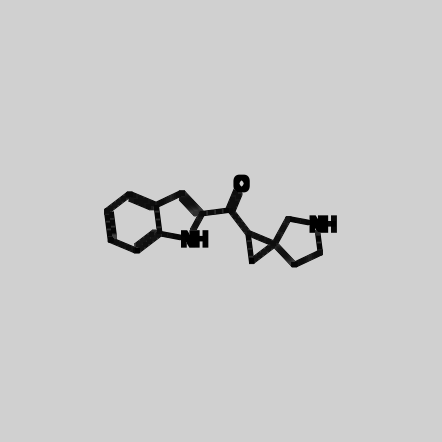 O=C(c1cc2ccccc2[nH]1)C1CC12CCNC2